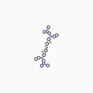 CC1(C)c2cc(N(c3ccc4ccccc4c3)c3ccc4c(c3)c3ccccc3n4-c3ccccc3)ccc2-c2ccc([Si](C)(C)c3ccc4c(c3)C(C)(C)c3cc(N(c5ccc6ccccc6c5)c5ccc6c(c5)c5ccccc5n6-c5ccccc5)ccc3-4)cc21